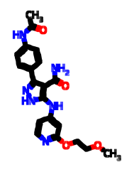 COCCOc1cc(Nc2[nH]nc(-c3ccc(NC(C)=O)cc3)c2C(N)=O)ccn1